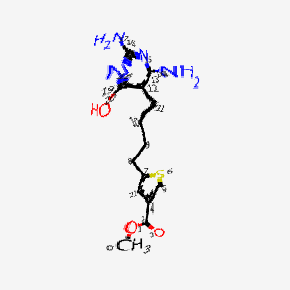 COC(=O)c1csc(CCCCc2c(N)nc(N)nc2O)c1